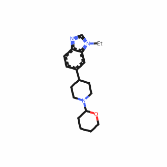 CCn1cnc2ccc(C3CCN(C4CCCCO4)CC3)cc21